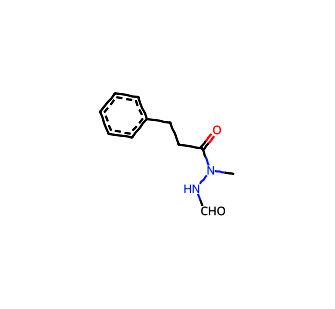 CN(NC=O)C(=O)CCc1ccccc1